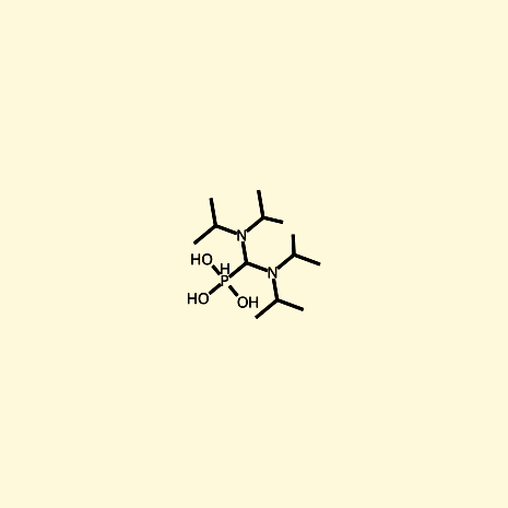 CC(C)N(C(C)C)C(N(C(C)C)C(C)C)[PH](O)(O)O